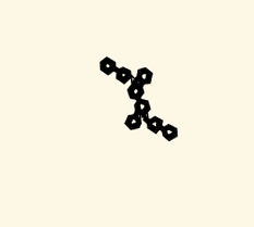 C1=CC2C3=CC(c4ccc5c(c4)C4C=CC=CC4N5c4ccc(-c5ccccc5)cc4)CC=C3N(C3C=CC(C4CC=CCC4)=CC3)C2C=C1